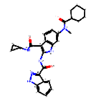 CN(C(=O)C1CCCCC1)c1ccc2c(C(=O)NC3CC3)c(NC(=O)c3n[nH]c4ccccc34)[nH]c2c1